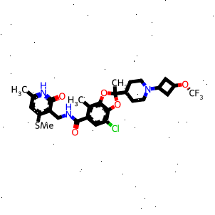 CSc1cc(C)[nH]c(=O)c1CNC(=O)c1cc(Cl)c2c(c1C)OC(C)(C1CCN(C3CC(OC(F)(F)F)C3)CC1)O2